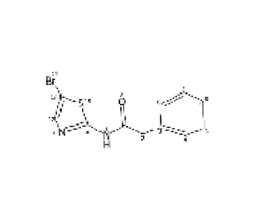 O=C(Cc1ccccc1)Nc1ncc(Br)s1